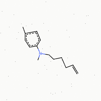 C=CCCCCN(C)c1ccc(C)cc1